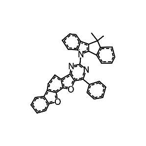 CC1(C)c2ccccc2-c2c1c1ccccc1n2-c1nc(-c2ccccc2)c2oc3c(ccc4c5ccccc5oc43)c2n1